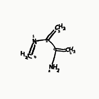 C=NC(=C)C(=C)N